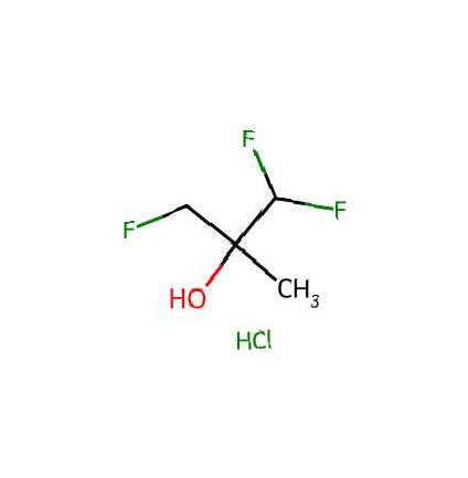 CC(O)(CF)C(F)F.Cl